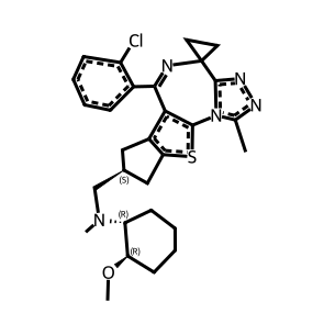 CO[C@@H]1CCCC[C@H]1N(C)C[C@@H]1Cc2sc3c(c2C1)C(c1ccccc1Cl)=NC1(CC1)c1nnc(C)n1-3